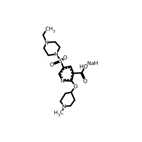 CCN1CCN(S(=O)(=O)c2cnc(OC3CCN(C)CC3)c(C(=O)O)c2)CC1.[NaH]